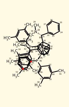 Cc1cc(C)cc(P(c2cc(C)cc(C)c2)[C]23[CH]4[CH]5[CH]6[C]2([C@@H](c2ccccc2)N(C)C)[Fe]56432789[CH]3[CH]2[C]7([C@@H](c2ccccc2)N(C)C)[C@@]8(P(c2cc(C)cc(C)c2)c2cc(C)cc(C)c2)[CH]39)c1